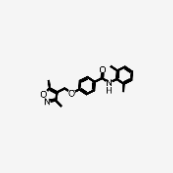 Cc1cccc(C)c1NC(=O)c1ccc(OCc2c(C)noc2C)cc1